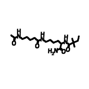 CCC(C)(C)C(=O)NC(CCCCNC(=O)CCCCNC(C)=O)C(N)=O